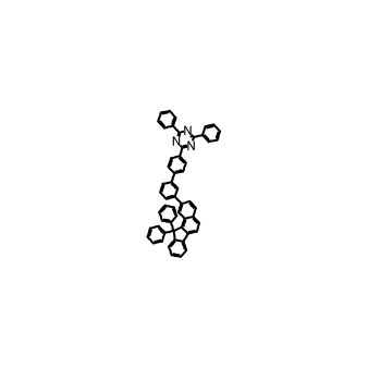 c1ccc(-c2nc(-c3ccccc3)nc(-c3ccc(-c4cccc(-c5ccc6ccc7c(c6c5)C(c5ccccc5)(c5ccccc5)c5ccccc5-7)c4)cc3)n2)cc1